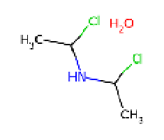 CC(Cl)NC(C)Cl.O